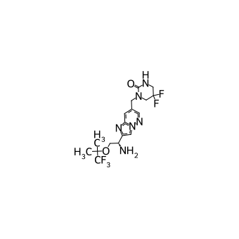 CC(C)(OC[C@H](N)c1cn2ncc(CN3CC(F)(F)CNC3=O)cc2n1)C(F)(F)F